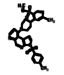 COS(=O)(=O)c1ccc(C)cc1C1CCN(c2ccnc3cnc4c(ccn4S(=O)(=O)c4ccc(C)cc4)c23)CC1